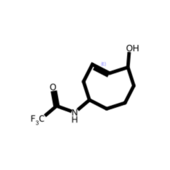 O=C(NC1C/C=C/C(O)CCC1)C(F)(F)F